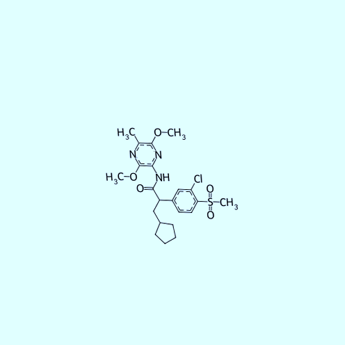 COc1nc(NC(=O)C(CC2CCCC2)c2ccc(S(C)(=O)=O)c(Cl)c2)c(OC)nc1C